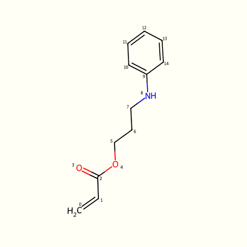 C=CC(=O)OCCCNc1ccccc1